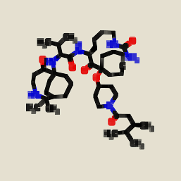 CC(C)[C@H](C)CC(=O)N1CCC(OC2(C(=O)[C@H](CCCCNC(N)=O)NC(=O)[C@@H](NC34CCCC(CC3)C(C)(C)NCCC4=O)C(C)C)CCCCCC2)CC1